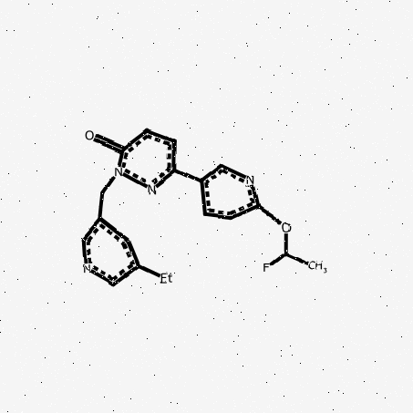 CCc1cncc(Cn2nc(-c3ccc(OC(C)F)nc3)ccc2=O)c1